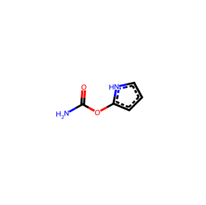 NC(=O)Oc1ccc[nH]1